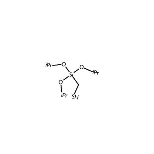 CC(C)O[Si](CS)(OC(C)C)OC(C)C